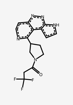 O=C(CC(F)(F)F)N1CCC(c2nccc3nnc4[nH]ccc4c23)C1